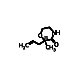 C=CC[C@]1(C)OCCNC1=O